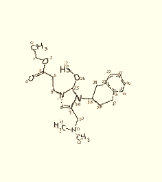 CCOC(=O)CCN1C=C(CN(C)C)N(C2CCc3ccccc3C2)C1OS